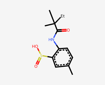 CCC(C)(C)C(=O)Nc1ccc(C)cc1S(=O)O